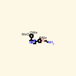 COc1ccc(-c2cnn3ccc(-c4ccc(OCCCN)c(OC)c4)nc23)cc1OC